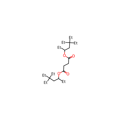 CCC(CC(CC)(CC)CC)OC(=O)CCC(=O)OC(CC)CC(CC)(CC)CC